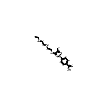 CCOCCOCCOc1nn(-c2ccc(C(=O)O)cc2)nc1C